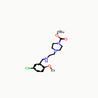 CCCCOC(=O)N1CCN(CCNCc2cc(Cl)ccc2OCC)CC1